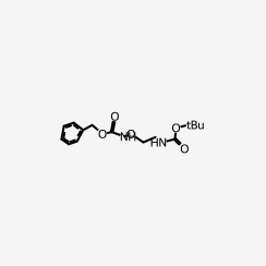 CC(C)(C)OC(=O)NCCONC(=O)OCc1ccccc1